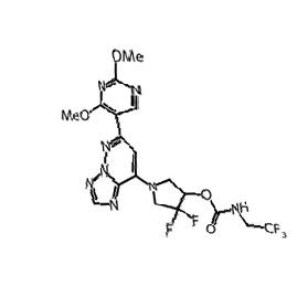 COc1ncc(-c2cc(N3CC(OC(=O)NCC(F)(F)F)C(F)(F)C3)c3ncnn3n2)c(OC)n1